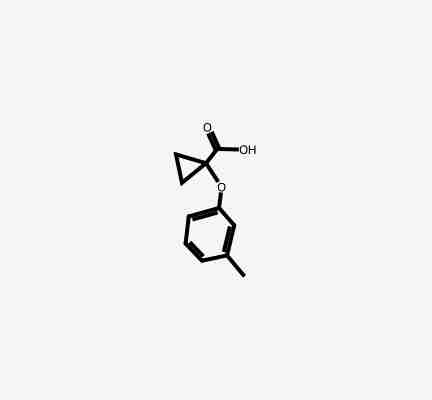 Cc1cccc(OC2(C(=O)O)CC2)c1